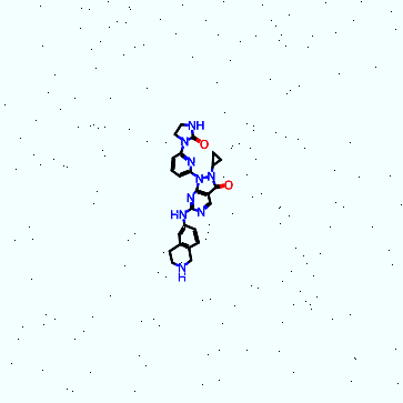 O=C1NCCN1c1cccc(-n2c3nc(Nc4ccc5c(c4)CCNC5)ncc3c(=O)n2C2CC2)n1